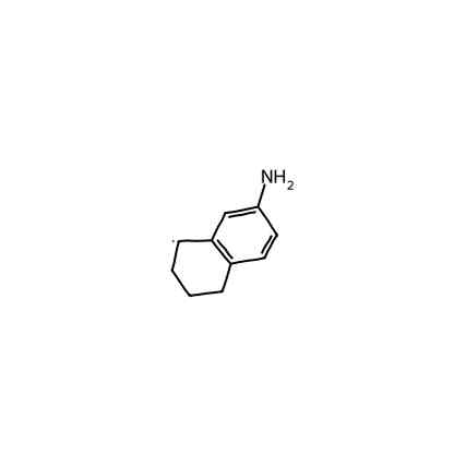 Nc1ccc2c(c1)[CH]CCC2